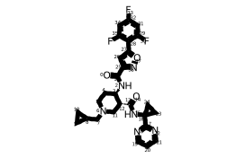 O=C(N[C@@H]1CCN(CC2CC2)C[C@H]1C(=O)NC1(c2ncccn2)CC1)c1cc(-c2c(F)cc(F)cc2F)on1